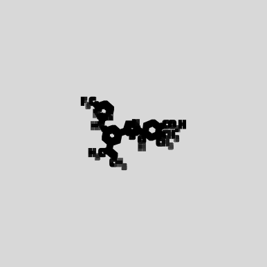 CC=C(C)c1cc(Nc2nccc(C(F)(F)F)n2)cc(-c2cnc(C3(O)CCC(C(=O)O)C(C)(C)C3)s2)c1